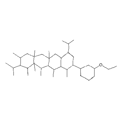 CCOC1CCCC(C2CC(C(C)C)C3CC4(C)CC5(C)CC(C)C(C(C)C)C(C)C5(C)C(C)C4C(C)C3C2C)C1